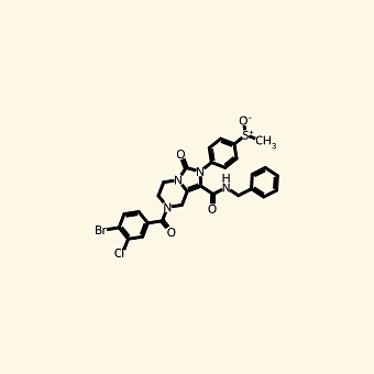 C[S+]([O-])c1ccc(-n2c(C(=O)NCc3ccccc3)c3n(c2=O)CCN(C(=O)c2ccc(Br)c(Cl)c2)C3)cc1